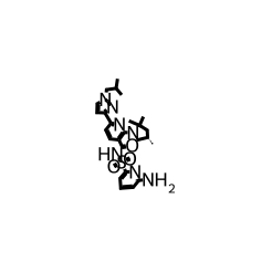 CC(C)Cn1ccc(-c2ccc(C(=O)NS(=O)(=O)c3cccc(N)n3)c(N3C[C@@H](C)CC3(C)C)n2)n1